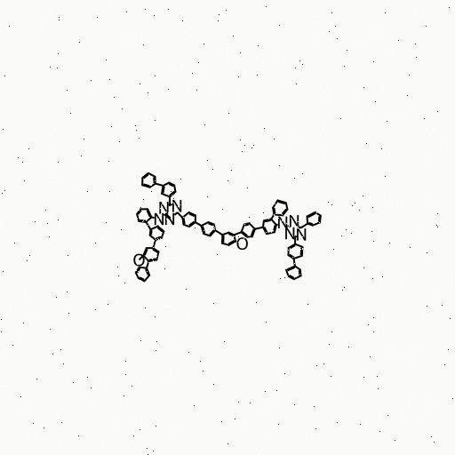 c1ccc(-c2ccc(-c3nc(-c4ccccc4)nc(-n4c5ccccc5c5cc(-c6ccc7c(c6)oc6ccc(-c8ccc(-c9ccc(-c%10nc(-c%11cccc(-c%12ccccc%12)c%11)nc(-n%11c%12ccccc%12c%12cc(-c%13ccc%14c(c%13)oc%13ccccc%13%14)ccc%12%11)n%10)cc9)cc8)cc67)ccc54)n3)cc2)cc1